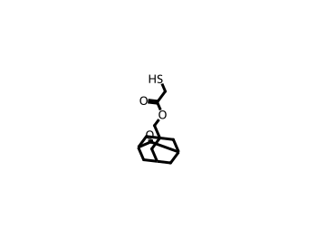 O=C(CS)OCC12CC3CC(C1)C(=O)C(C3)C2